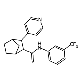 C=C(Nc1cccc(C(F)(F)F)c1)C1C2CCC(C2)C1c1ccncc1